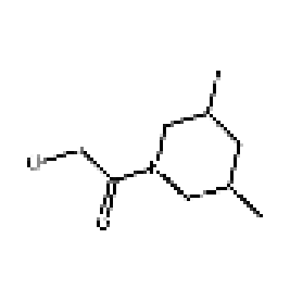 CC1CC(C)CN(C(=O)CCl)C1